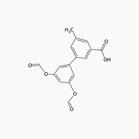 Cc1cc(C(=O)O)cc(-c2cc(OC=O)cc(OC=O)c2)c1